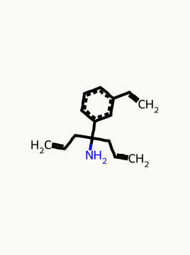 C=CCC(N)(CC=C)c1cccc(C=C)c1